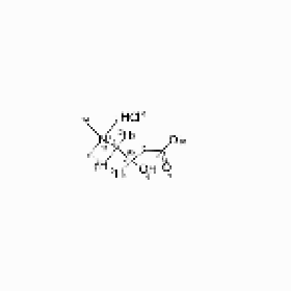 Cl.[2H]C([2H])([C@]([2H])(O)CC(=O)[O-])[N+](C)(C)C